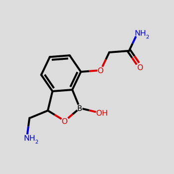 NCC1OB(O)c2c(OCC(N)=O)cccc21